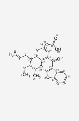 C=CCN(CC=C)c1cccc(C(=O)c2coc3ccccc23)c1OCC.CC(=O)O